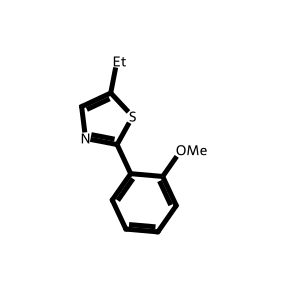 CCc1cnc(-c2ccccc2OC)s1